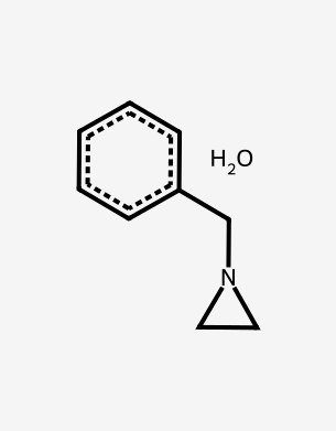 O.c1ccc(CN2CC2)cc1